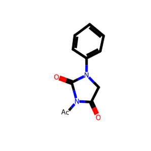 CC(=O)N1C(=O)CN(c2ccccc2)C1=O